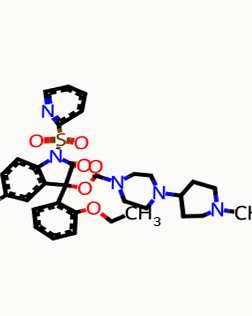 CCOc1ccccc1C1(OC(=O)N2CCN(C3CCN(C)CC3)CC2)C(=O)N(S(=O)(=O)c2ccccn2)c2ccc(Cl)cc21